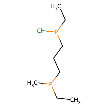 CCP(C)CCCP(Cl)CC